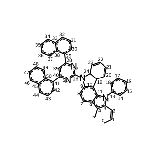 C/C=C\c1c(C)c2ccc3c(c2n1-c1ccccc1)C1C=CC=CC1N3c1nc(-c2cccc3ccccc23)cc(-c2cccc3ccccc23)n1